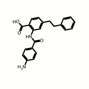 Nc1ccc(C(=O)Nc2cc(CCc3ccccc3)ccc2C(=O)O)cc1